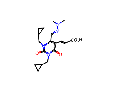 CN(C)N=Cc1c(C=CC(=O)O)c(=O)n(CC2CC2)c(=O)n1CC1CC1